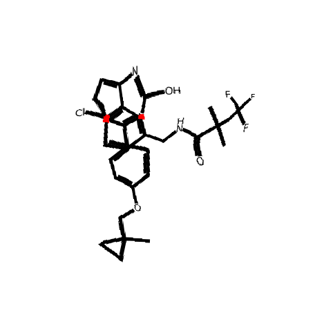 CC1(COc2ccc(/C3=N/C(O)=N\C(c4cc(CNC(=O)C(C)(C)C(F)(F)F)ccc4Cl)=C\CC3)cc2)CC1